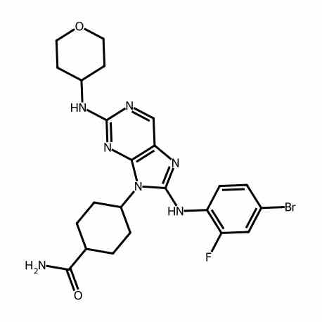 NC(=O)C1CCC(n2c(Nc3ccc(Br)cc3F)nc3cnc(NC4CCOCC4)nc32)CC1